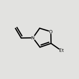 C=CN1C=C(CC)OC1